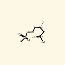 C[C@@H]([CH]CNS(C)(=O)=O)CC(N)=O